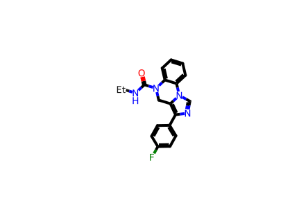 CCNC(=O)N1Cc2c(-c3ccc(F)cc3)ncn2-c2ccccc21